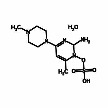 CC1=CC(N2CCN(C)CC2)=NC(N)N1OS(=O)(=O)O.O